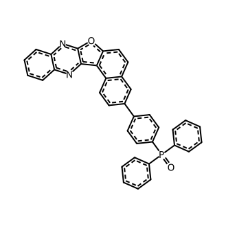 O=P(c1ccccc1)(c1ccccc1)c1ccc(-c2ccc3c(ccc4oc5nc6ccccc6nc5c43)c2)cc1